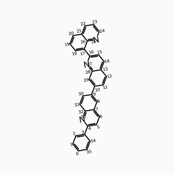 c1ccc(-c2ccc3cc(-c4ccc5ccc(-c6cccc7cccnc67)nc5c4)ccc3n2)cc1